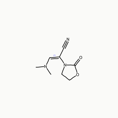 CN(C)/C=C(/C#N)N1CCOC1=O